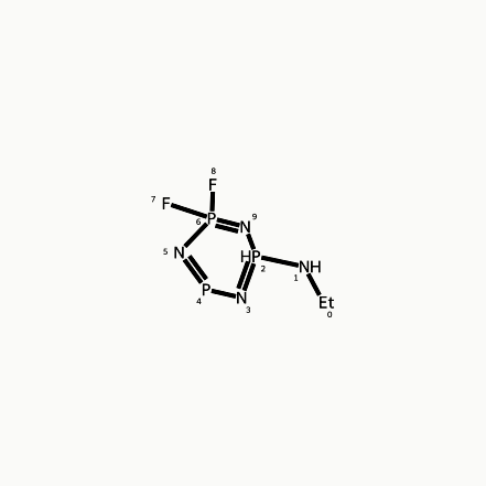 CCN[PH]1=NP=NP(F)(F)=N1